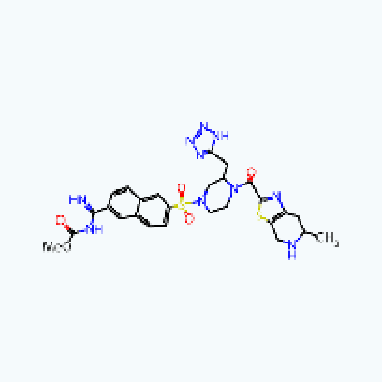 COC(=O)NC(=N)c1ccc2cc(S(=O)(=O)N3CCN(C(=O)c4nc5c(s4)CNC(C)C5)C(Cc4nnn[nH]4)C3)ccc2c1